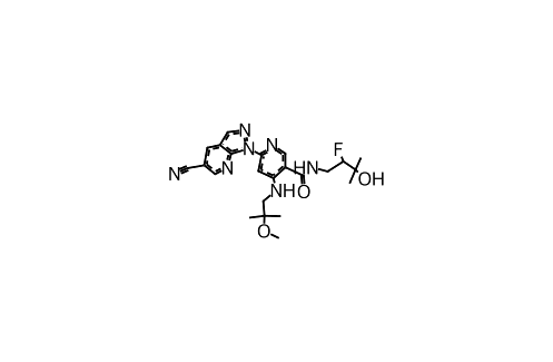 COC(C)(C)CNc1cc(-n2ncc3cc(C#N)cnc32)ncc1C(=O)NCC(F)C(C)(C)O